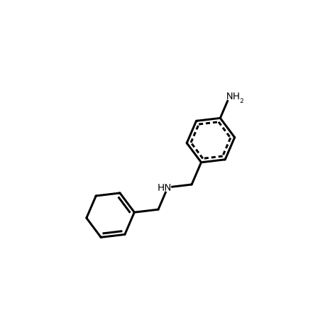 Nc1ccc(CNCC2=CCCC=C2)cc1